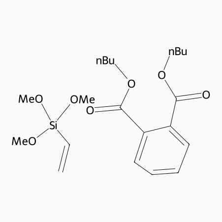 C=C[Si](OC)(OC)OC.CCCCOC(=O)c1ccccc1C(=O)OCCCC